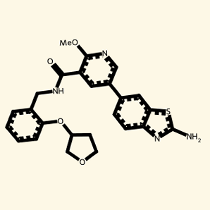 COc1ncc(-c2ccc3nc(N)sc3c2)cc1C(=O)NCc1ccccc1OC1CCOC1